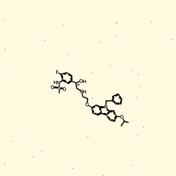 CC(C)Oc1ccc2c3ccc(OCCNC[C@H](O)c4ccc(F)c(NS(C)(=O)=O)c4)cc3n(Cc3ccccc3)c2c1